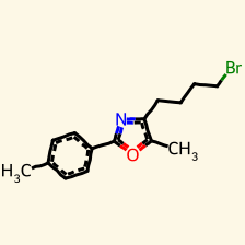 Cc1ccc(-c2nc(CCCCBr)c(C)o2)cc1